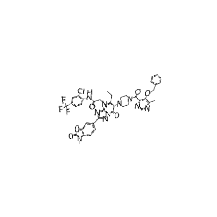 CCc1c(N2CCN(C(=O)c3ncnc(C)c3OCc3ccccc3)CC2)c(=O)n2nc(-c3ccc4c(c3)oc(=O)n4C)nc2n1CC(=O)Nc1ccc(C(F)(F)F)cc1Cl